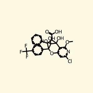 COc1nc(Cl)cc2c1C1(O)C(C(=O)O)C(c3ccccc3)C(c3ccc(C(F)(F)F)cc3)(O2)C1(O)O